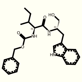 CCC(C)[C@H](NC(=O)OCc1ccccc1)C(=O)N[C@H](CO)Cc1c[nH]c2ccccc12